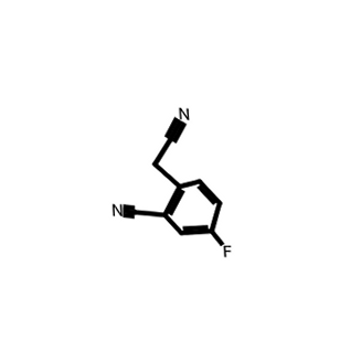 N#CCc1ccc(F)cc1C#N